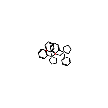 c1ccc(P2(CCP3(c4ccccc4)(c4ccccc4)CCCC3)(c3ccccc3)CCCC2)cc1